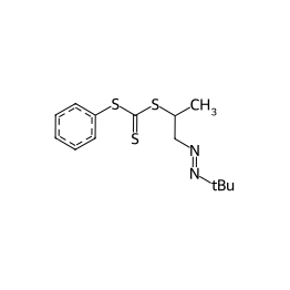 CC(C/N=N/C(C)(C)C)SC(=S)Sc1ccccc1